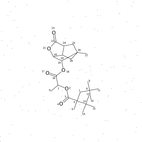 CC(OC(=O)C(C)(CC(C)(C)C)C(C)(C)C)C(=O)OC1C2OC(=O)C3CC1(C)CC32